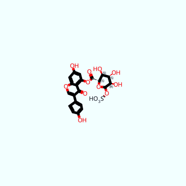 O=C(Oc1cc(O)cc2occ(-c3ccc(O)cc3)c(=O)c12)[C@H]1OC(OS(=O)(=O)O)[C@H](O)[C@@H](O)[C@@H]1O